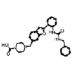 O=C(NCc1ccccc1)Nc1ccccc1-c1cc2ccc(CN3CCN(C(=O)O)CC3)cc2o1